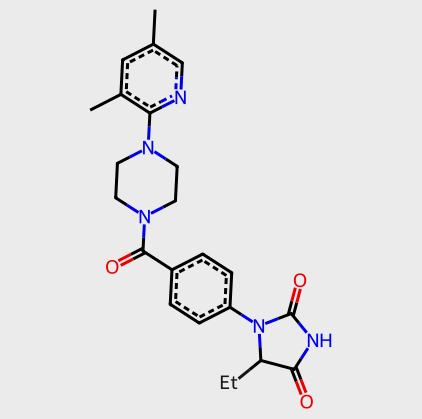 CCC1C(=O)NC(=O)N1c1ccc(C(=O)N2CCN(c3ncc(C)cc3C)CC2)cc1